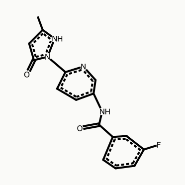 Cc1cc(=O)n(-c2ccc(NC(=O)c3cccc(F)c3)cn2)[nH]1